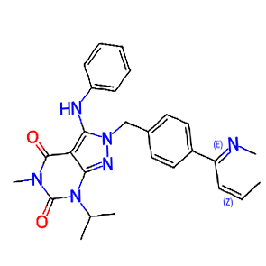 C/C=C\C(=N/C)c1ccc(Cn2nc3c(c2Nc2ccccc2)c(=O)n(C)c(=O)n3C(C)C)cc1